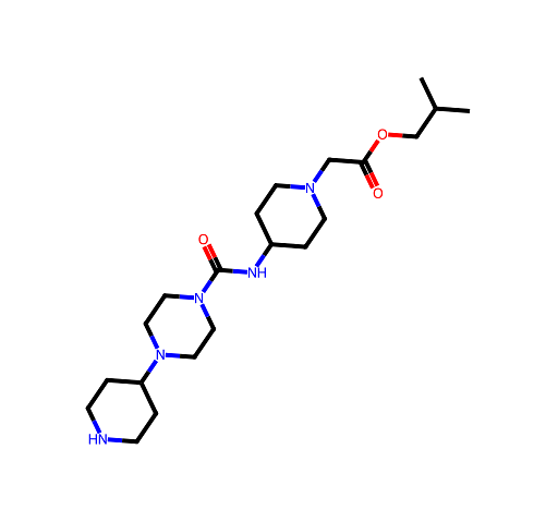 CC(C)COC(=O)CN1CCC(NC(=O)N2CCN(C3CCNCC3)CC2)CC1